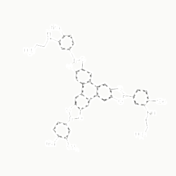 BCCNc1cc(B2Oc3cc4c5cc6c(cc5c5cc7c(cc5c4cc3O2)OB(c2ccc(C(C)(C)C)c(NCCB)c2)O7)OB(c2ccc(C(C)(C)C)c(C)c2)O6)ccc1C(C)(C)C